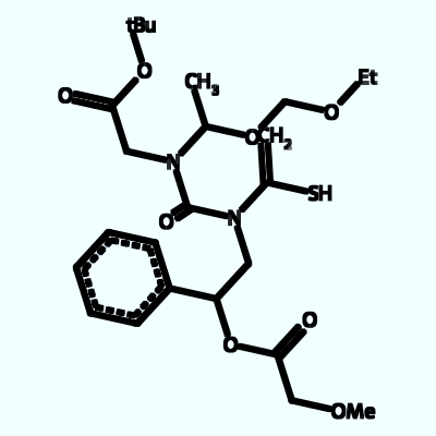 C=C(S)N(CC(OC(=O)COC)c1ccccc1)C(=O)N(CC(=O)OC(C)(C)C)C(C)OCOCC